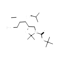 CC[C@@H](CO)[C@H](O)[C@@H]1OC(C)(C)N(C(=O)OC(C)(C)C)[C@H]1CC(C)C